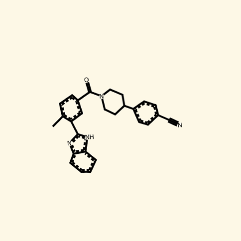 Cc1ccc(C(=O)N2CCC(c3ccc(C#N)cc3)CC2)cc1-c1nc2ccccc2[nH]1